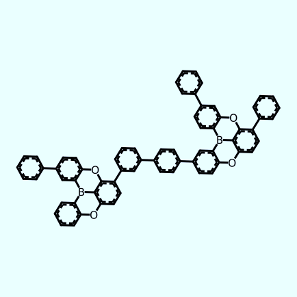 c1ccc(-c2ccc3c(c2)Oc2c(-c4ccccc4)ccc4c2B3c2cc(-c3ccc(-c5cccc(-c6ccc7c8c6Oc6ccc(-c9ccccc9)cc6B8c6ccccc6O7)c5)cc3)ccc2O4)cc1